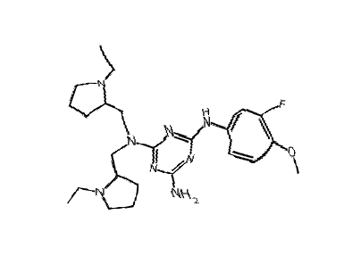 CCN1CCCC1CN(CC1CCCN1CC)c1nc(N)nc(Nc2ccc(OC)c(F)c2)n1